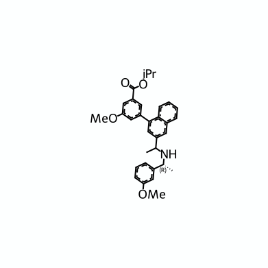 COc1cc(C(=O)OC(C)C)cc(-c2cc(C(C)N[C@H](C)c3cccc(OC)c3)cc3ccccc23)c1